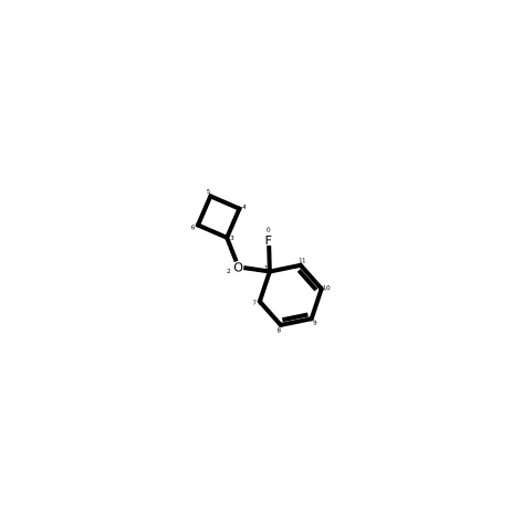 FC1(OC2CCC2)[CH]C=CC=C1